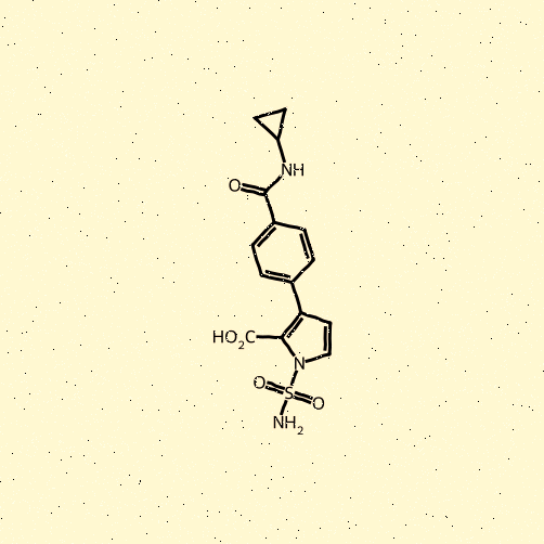 NS(=O)(=O)n1ccc(-c2ccc(C(=O)NC3CC3)cc2)c1C(=O)O